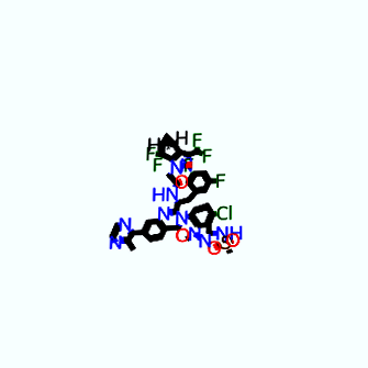 Cc1nccnc1-c1ccc2c(=O)n(-c3ccc(Cl)c4c(NS(C)(=O)=O)nn(C)c34)c(C(Cc3cc(F)cc(F)c3)NC(=O)Cn3nc(C(F)F)c4c3C(F)(F)[C@@H]3C[C@H]43)nc2c1